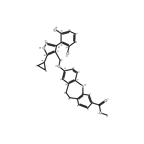 COC(=O)c1ccc2c(c1)Sc1ccc(OCc3c(-c4c(Cl)cccc4Cl)noc3C3CC3)cc1CC2